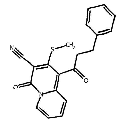 CSc1c(C#N)c(=O)n2ccccc2c1C(=O)CCc1ccccc1